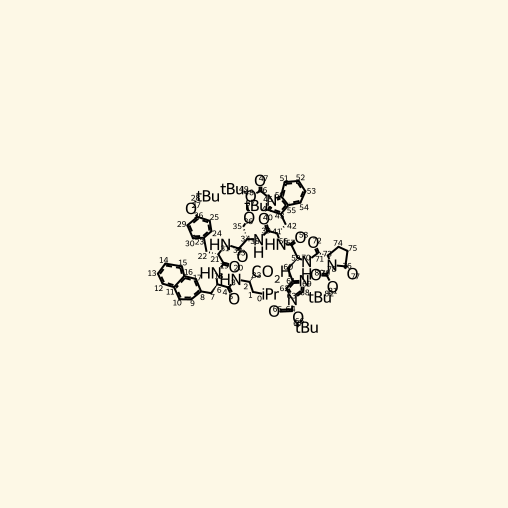 CC(C)C[C@H](NC(=O)[C@@H](Cc1ccc2ccccc2c1)NC(=O)[C@H](Cc1ccc(OC(C)(C)C)cc1)NC(=O)[C@H](COC(C)(C)C)NC(=O)[C@H](Cc1cn(C(=O)OC(C)(C)C)c2ccccc12)NC(=O)[C@H](Cc1cn(C(=O)OC(C)(C)C)cn1)NC(=O)[C@@H]1CCC(=O)N1C(=O)OC(C)(C)C)C(=O)O